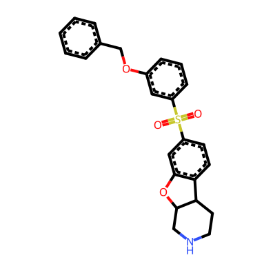 O=S(=O)(c1cccc(OCc2ccccc2)c1)c1ccc2c(c1)OC1CNCCC21